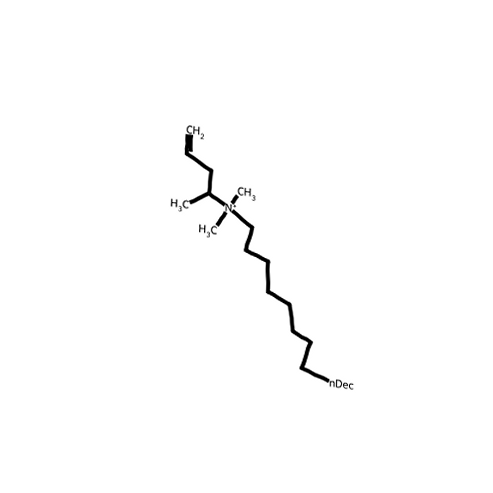 C=CCC(C)[N+](C)(C)CCCCCCCCCCCCCCCCCC